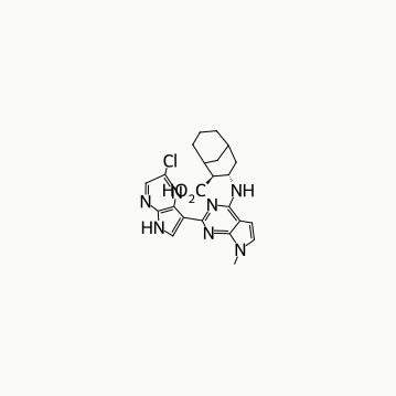 Cn1ccc2c(N[C@H]3CC4CCCC(C4)[C@@H]3C(=O)O)nc(-c3c[nH]c4ncc(Cl)nc34)nc21